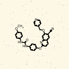 COc1ccc(NC(=O)Nc2ccc(Oc3ccc4cc(C#N)c(OCc5ccncc5)cc4n3)cc2)cc1